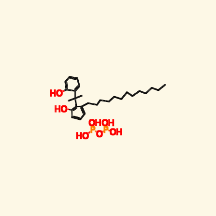 CCCCCCCCCCCCCc1cccc(O)c1C(C)(C)c1ccccc1O.OP(O)OP(O)O